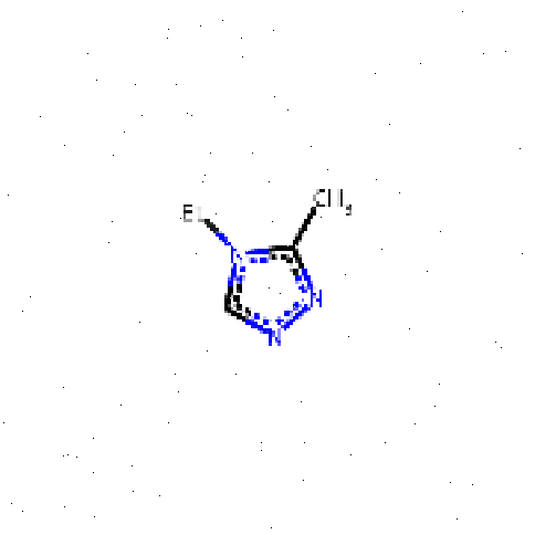 CCn1cnnc1C